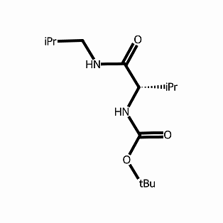 CC(C)CNC(=O)[C@@H](NC(=O)OC(C)(C)C)C(C)C